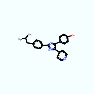 CC(C)Cc1ccc(-c2nc(-c3ccc(O)cc3)c(-c3ccncc3)[nH]2)cc1